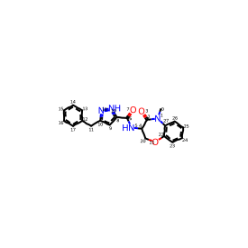 CN1C(=O)C(NC(=O)c2cc(Cc3ccccc3)n[nH]2)COc2ccccc21